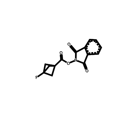 O=C1c2ccccc2C(=O)N1OC(=O)C12CC(F)(C1)C2